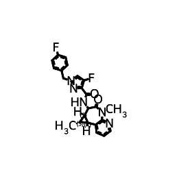 C[C@H]1[C@H]2c3cccnc3N(C)C(=O)C(NC(=O)c3nn(Cc4ccc(F)cc4)cc3F)[C@@H]12